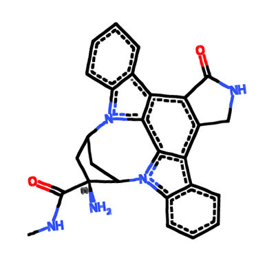 CNC(=O)[C@]1(N)CC2CC1n1c3ccccc3c3c4c(c5c6ccccc6n2c5c31)C(=O)NC4